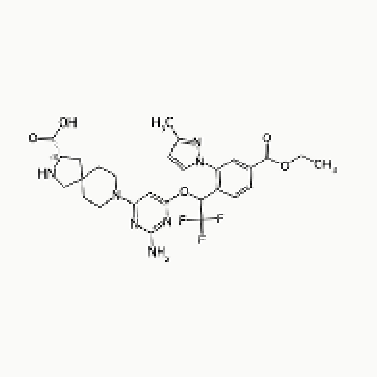 CCOC(=O)c1ccc(C(Oc2cc(N3CCC4(CC3)CN[C@H](C(=O)O)C4)nc(N)n2)C(F)(F)F)c(-n2ccc(C)n2)c1